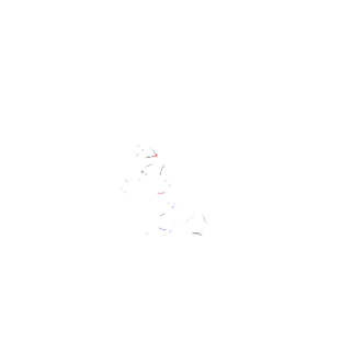 Cc1ccc(-n2nc(C(C)(C)C)cc2NC(=O)Nc2cccc(CC3CC4CCC(C3)N4CC(=O)c3cccnc3)c2)cc1